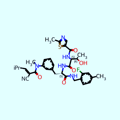 Cc1ccc(CNC(=O)[C@H](Cc2cccc(N(C)C(=O)C(C#N)=CC(C)C)c2)NC(=O)[C@@H](NC(=O)c2cnc(C)s2)[C@@H](C)O)c(F)c1